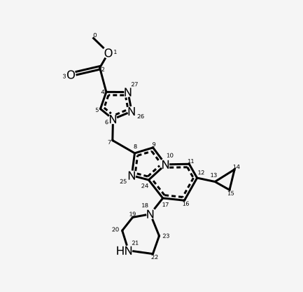 COC(=O)c1cn(Cc2cn3cc(C4CC4)cc(N4CCNCC4)c3n2)nn1